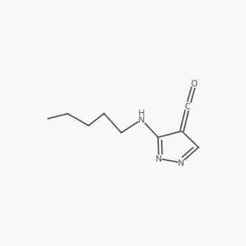 CCCCCNC1=NN=CC1=C=O